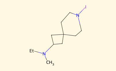 CCN(C)C1CC2(CCN(I)CC2)C1